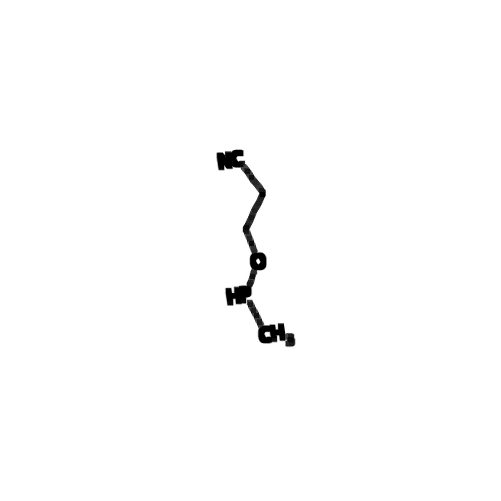 CPOCCC#N